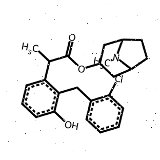 CC(C(=O)OC1CC2CCC(C1)N2C)c1cccc(O)c1Cc1ccccc1Cl